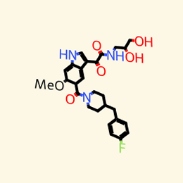 COC1C=c2[nH]cc(C(=O)C(=O)NCC(O)CO)c2=CC1C(=O)N1CCC(Cc2ccc(F)cc2)CC1